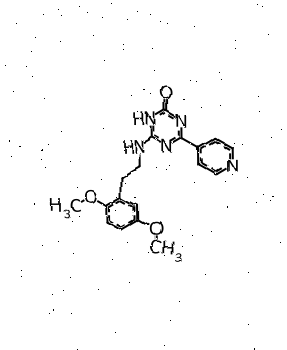 COc1ccc(OC)c(CCNc2nc(-c3ccncc3)nc(=O)[nH]2)c1